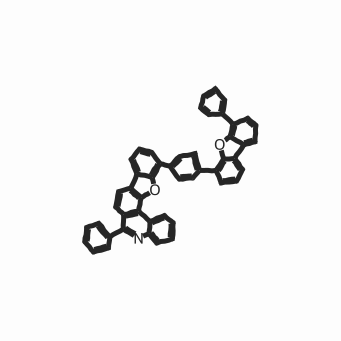 c1ccc(-c2nc3ccccc3c3c2ccc2c4cccc(-c5ccc(-c6cccc7c6oc6c(-c8ccccc8)cccc67)cc5)c4oc23)cc1